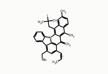 C=c1c2c(C)c3ccc(C)cc3c(CC(C)(C)I)c2n2c3ccccc3c3c(CC(C)(C)C)cc(/C=C\C)c1c32